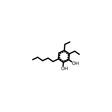 CCCCCc1cc(CC)c(CC)c(O)c1O